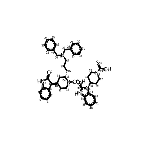 O=C1Nc2ccccc2C1=C1CCN(C(=O)O)[C@@H](CCCN(Cc2ccccc2)Cc2ccccc2)C1.O=c1[nH]c2ccccc2n1C1CCN(C(O)=S)CC1